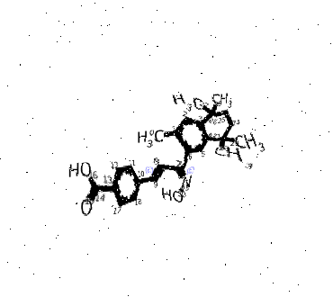 Cc1cc2c(cc1C(/C=C/c1ccc(C(=O)O)cc1)=N/O)C(C)(C)CCC2(C)C